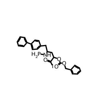 O=C(OCc1ccccc1)OC(CC(Cc1ccc(-c2ccccc2)cc1)NP)C(=O)I